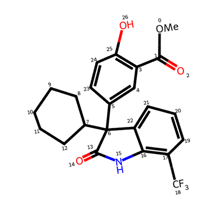 COC(=O)c1cc(C2(C3CCCCC3)C(=O)Nc3c(C(F)(F)F)cccc32)ccc1O